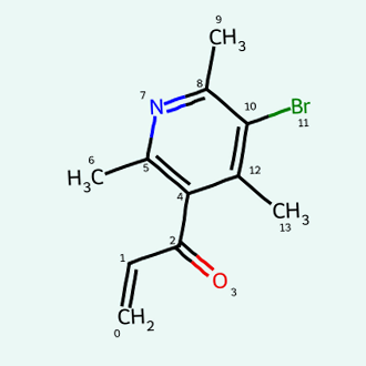 C=CC(=O)c1c(C)nc(C)c(Br)c1C